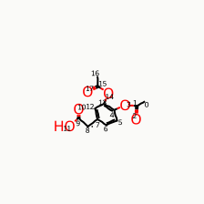 CC(=O)Oc1ccc([CH]C(=O)O)cc1OC(C)=O